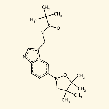 CC(C)(C)[S@@+]([O-])NCc1cnc2ccc(B3OC(C)(C)C(C)(C)O3)cn12